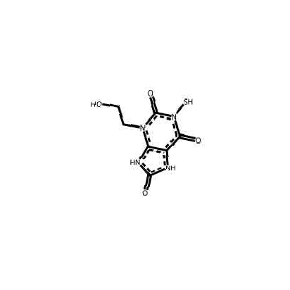 O=c1[nH]c2c(=O)n(S)c(=O)n(CCO)c2[nH]1